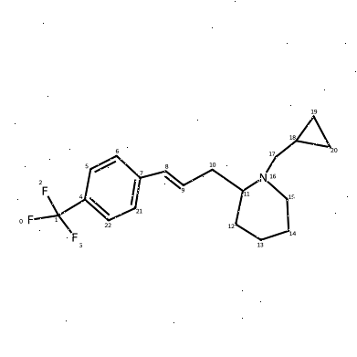 FC(F)(F)c1ccc(/C=C/CC2CCCCN2CC2CC2)cc1